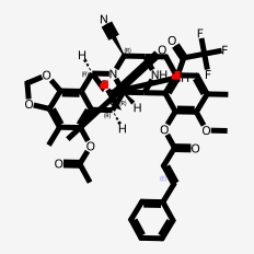 COc1c(C)cc2c(c1OC(=O)/C=C/c1ccccc1)C1NC(C2)[C@H](C#N)N2[C@H]1[C@@H]1SCC(NC(=O)C(F)(F)F)C(=O)OC[C@H]2c2c3c(c(C)c(OC(C)=O)c21)OCO3